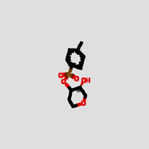 Cc1ccc(S(=O)(=O)OC2CCOC[C@H]2O)cc1